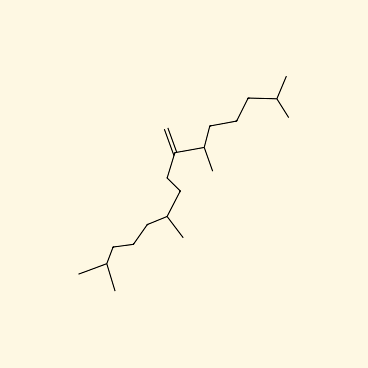 C=C(CCC(C)CCCC(C)C)C(C)CCCC(C)C